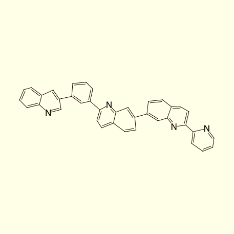 c1ccc(-c2ccc3ccc(-c4ccc5ccc(-c6cccc(-c7cnc8ccccc8c7)c6)nc5c4)cc3n2)nc1